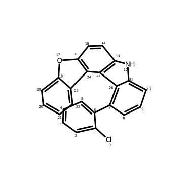 Clc1ccccc1-c1cccc2[nH]c3ccc4oc5ccccc5c4c3c12